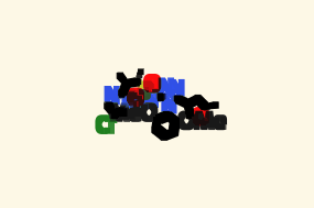 COc1cccc(OC)c1-n1c(NS(=O)(=O)[C@@H](C)[C@H](C)c2ncc(Cl)cn2)nnc1C1CO[C@H](C)C1